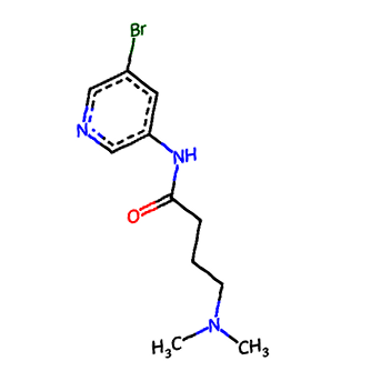 CN(C)CCCC(=O)Nc1cncc(Br)c1